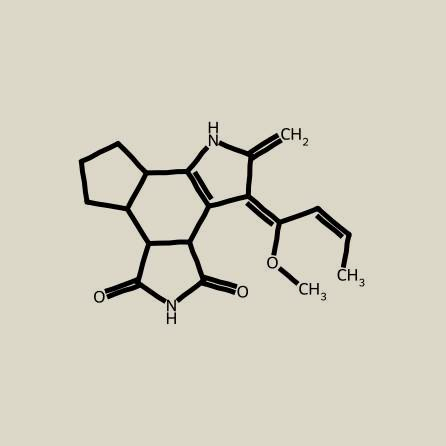 C=c1[nH]c2c(/c1=C(/C=C\C)OC)C1C(=O)NC(=O)C1C1CCCC21